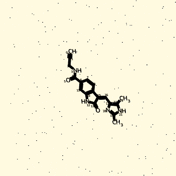 C#CCNC(=O)c1ccc2c(c1)NC(=O)/C2=C\c1nc(C)[nH]c1C